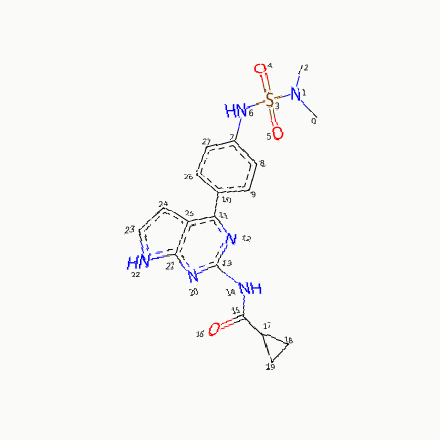 CN(C)S(=O)(=O)Nc1ccc(-c2nc(NC(=O)C3CC3)nc3[nH]ccc23)cc1